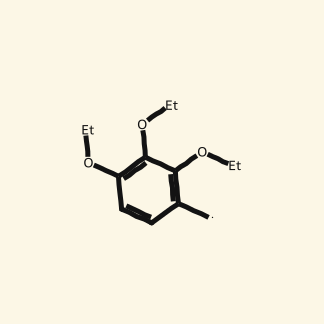 [CH2]c1ccc(OCC)c(OCC)c1OCC